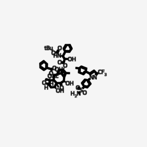 CC(=O)O[C@@]12CO[C@@H]1C[C@H](O)[C@@]1(C)C(=O)[C@H](O)C3=C(C)[C@@H](OC(=O)C(O)[C@@H](NC(=O)OC(C)(C)C)c4ccccc4)C[C@@](O)([C@@H](OC(=O)c4ccccc4)[C@H]21)C3(C)C.Cc1ccc(-c2cc(C(F)(F)F)nn2-c2ccc(S(N)(=O)=O)cc2)cc1